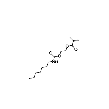 C=C(C)C(=O)OCCOC(=O)NCCCCCCC